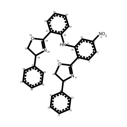 O=[N+]([O-])c1ccc(C2=NC(c3ccccc3)CO2)c(Nc2ccccc2C2=NC(c3ccccc3)CO2)c1